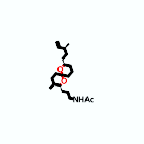 C=C[C@@H](C)CC[C@@H]1CCCC2(CCC(C)[C@@H](CCCNC(C)=O)O2)O1